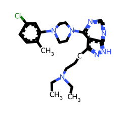 CCN(CC)CCCc1n[nH]c2ncnc(N3CCN(c4cc(Cl)ccc4C)CC3)c12